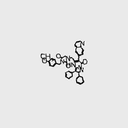 COc1ccc(CN2C(=O)CN(Cc3[nH]c4c(-c5ccccc5)c(-c5ccccc5)nn4c(=O)c3-c3ccc4ncccc4c3)C2=O)cc1